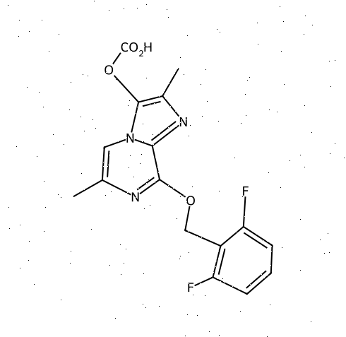 Cc1cn2c(OC(=O)O)c(C)nc2c(OCc2c(F)cccc2F)n1